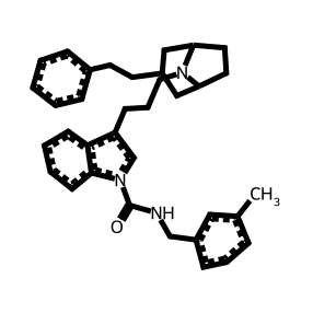 Cc1cccc(CNC(=O)n2cc(CCCN3C4CCC3CC(CCc3ccccc3)C4)c3ccccc32)c1